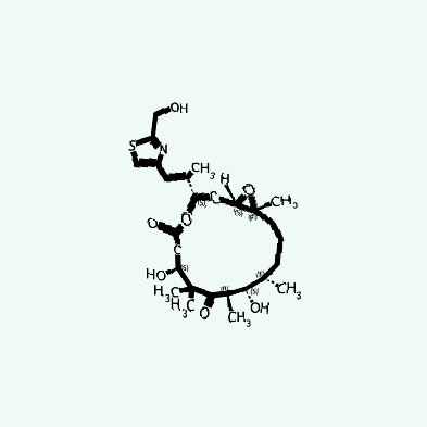 CC(=Cc1csc(CO)n1)[C@@H]1C[C@@H]2O[C@]2(C)CCC[C@H](C)[C@H](O)[C@@H](C)C(=O)C(C)(C)[C@@H](O)CC(=O)O1